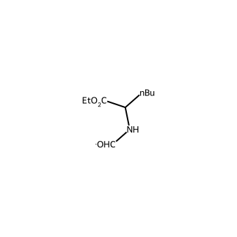 CCCCC(N[C]=O)C(=O)OCC